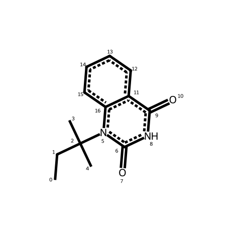 CCC(C)(C)n1c(=O)[nH]c(=O)c2ccccc21